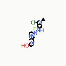 C/C=C\C(=N/C(F)Nc1ccc2c(c1)c(Cl)cn2C1CC1)n1cc(CN2CCC(O)C2)c(C)n1